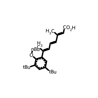 CCCCOc1c(/C(C)=C/C=C/C(C)=C/C(=O)O)cc(C(C)(C)C)cc1C(C)(C)C